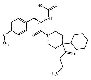 CCCC(=O)C1(C2CCCCC2)CCN(C(=O)[C@@H](Cc2ccc(OC)cc2)NC(=O)O)CC1